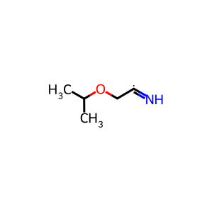 CC(C)OC[C]=N